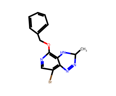 CC1N=Nc2c(Br)cnc(OCc3ccccc3)c2N1